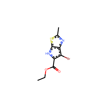 CCOC(=O)c1[nH]c2sc(C)nc2c1Br